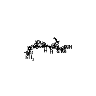 CC#CC(C)OCC1O[C@@H](BC#CCNC(=O)COCCOC(COc2cccc(C(=O)NCCN)c2)SSC(C)(C)C)C[C@H]1O[C@H](COC(=O)OCSC#N)SSC